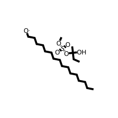 CCC(C)(O)OS(=O)(=O)OC.CCCCCCCCCCCCCCCC[O]